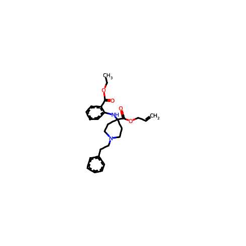 C=CCOC(=O)C1(Nc2ccccc2C(=O)OCC)CCN(CCc2ccccc2)CC1